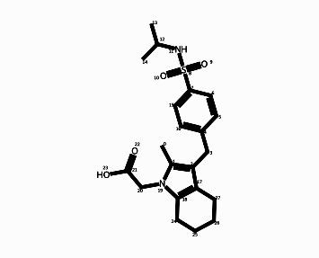 Cc1c(Cc2ccc(S(=O)(=O)NC(C)C)cc2)c2c(n1CC(=O)O)CCCC2